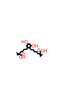 O=C(O)C1(CCCCCc2c(O)cc(O)cc2CCCCC2(C(=O)O)CC2)CC1